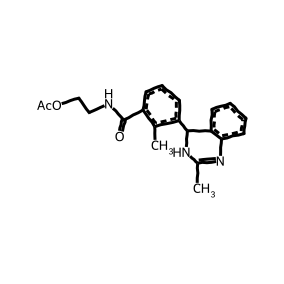 CC(=O)OCCNC(=O)c1cccc(C2NC(C)=Nc3ccccc32)c1C